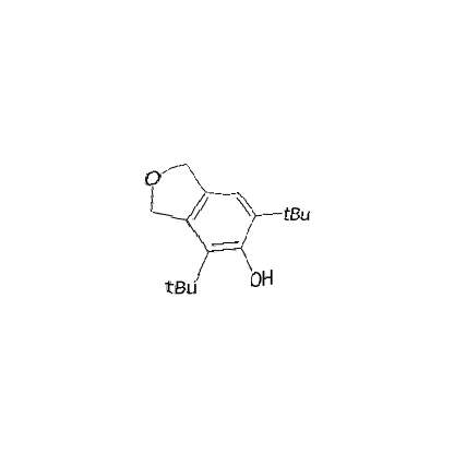 CC(C)(C)c1cc2c(c(C(C)(C)C)c1O)COC2